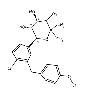 CCOc1ccc(Cc2cc([C@@H]3OC(C)(C)C(O)[C@H](O)[C@H]3O)ccc2Cl)cc1